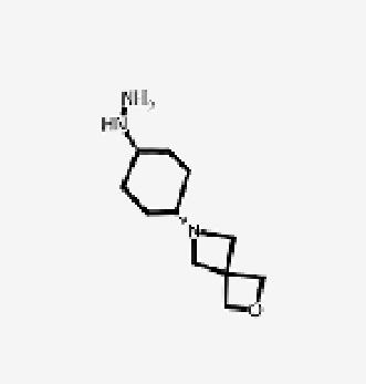 NN[C@H]1CC[C@H](N2CC3(COC3)C2)CC1